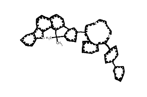 CC1(C)c2ccc(-c3ccccccc(-c4ccc(-c5ccccc5)cc4)c4ccccc34)cc2-c2ccc3ccc4c5ccccc5oc4c3c21